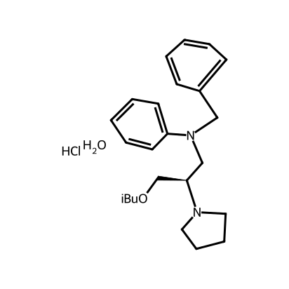 CC(C)COC[C@@H](CN(Cc1ccccc1)c1ccccc1)N1CCCC1.Cl.O